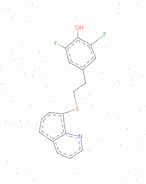 Oc1c(F)cc(CCSc2cccc3cccnc23)cc1F